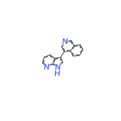 c1ccc2c(-c3c[nH]c4ncccc34)cncc2c1